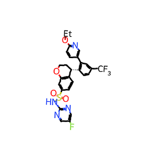 CCOc1ccc(-c2cc(C(F)(F)F)ccc2[C@H]2CCOc3cc(S(=O)(=O)Nc4ncc(F)cn4)ccc32)cn1